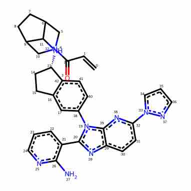 C=CC(=O)N1CC2CCC(C1)C2N[C@H]1CCc2cc(-n3c(-c4cccnc4N)nc4ccc(-n5cccn5)nc43)ccc21